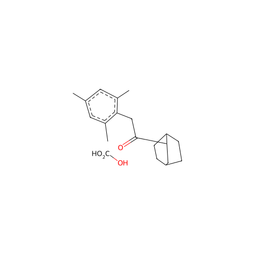 Cc1cc(C)c(CC(=O)C2CC3CCC2CC3)c(C)c1.O=C(O)O